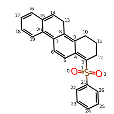 O=S(=O)(C1=c2ccc3c(c2CCC1)CC=c1ccccc1=3)c1ccccc1